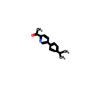 CC(=O)c1ccc(-c2ccc(C(C)C)cc2)cn1